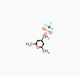 Cc1cc(C)[o+]c(C)c1.O=S(=O)([O-])C(F)(F)F